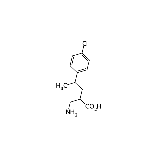 CC(CC(CN)C(=O)O)c1ccc(Cl)cc1